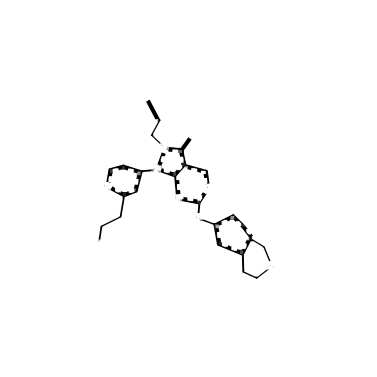 C=CCn1c(=O)c2cnc(Nc3ccc4c(c3)CCNC4)nc2n1-c1ccnc(CCO)c1